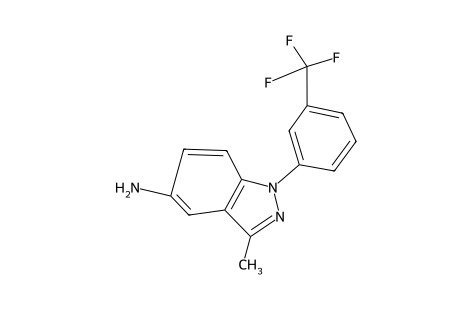 Cc1nn(-c2cccc(C(F)(F)F)c2)c2ccc(N)cc12